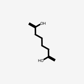 C=C(O)[CH]CC[CH]C(=C)O